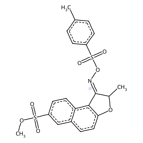 COS(=O)(=O)c1ccc2c3c(ccc2c1)OC(C)/C3=N\OS(=O)(=O)c1ccc(C)cc1